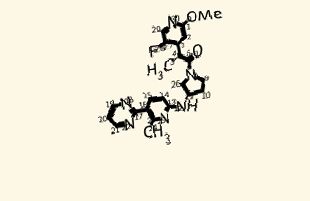 COc1cc([C@@H](C)C(=O)N2CC[C@H](Nc3ccc(-c4ncccn4)c(C)n3)C2)c(F)cn1